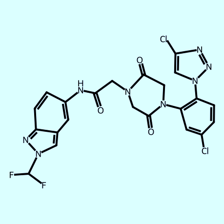 O=C(CN1CC(=O)N(c2cc(Cl)ccc2-n2cc(Cl)nn2)CC1=O)Nc1ccc2nn(C(F)F)cc2c1